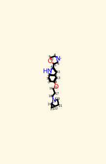 c1cc2[nH]c(C3C[N]CCO3)cc2cc1OCCCN1CCC2CC21